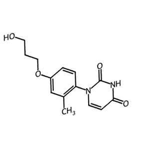 Cc1cc(OCCCO)ccc1-n1ccc(=O)[nH]c1=O